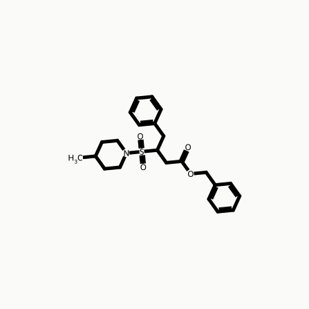 CC1CCN(S(=O)(=O)C(CC(=O)OCc2ccccc2)Cc2ccccc2)CC1